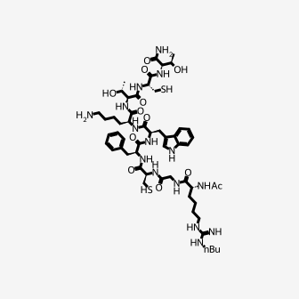 CCCCNC(=N)NCCCC[C@@H](NC(C)=O)C(=O)NCC(=O)N[C@@H](CS)C(=O)N[C@@H](Cc1ccccc1)C(=O)N[C@H](Cc1c[nH]c2ccccc12)C(=O)N[C@@H](CCCCN)C(=O)N[C@H](C(=O)N[C@@H](CS)C(=O)N[C@H](C(N)=O)[C@@H](C)O)[C@@H](C)O